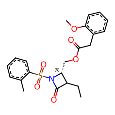 CCC1C(=O)N(S(=O)(=O)c2ccccc2C)[C@@H]1COC(=O)Cc1ccccc1OC